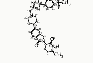 C=C1CCC(N2Cc3cc(C4CCN(Cc5noc(-c6ccc(C(C)(F)F)cc6)n5)CC4)ccc3C2=O)C(=O)N1